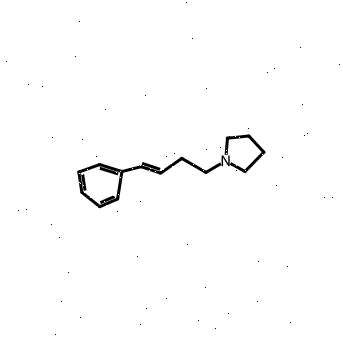 C(=Cc1ccccc1)CCN1CCCC1